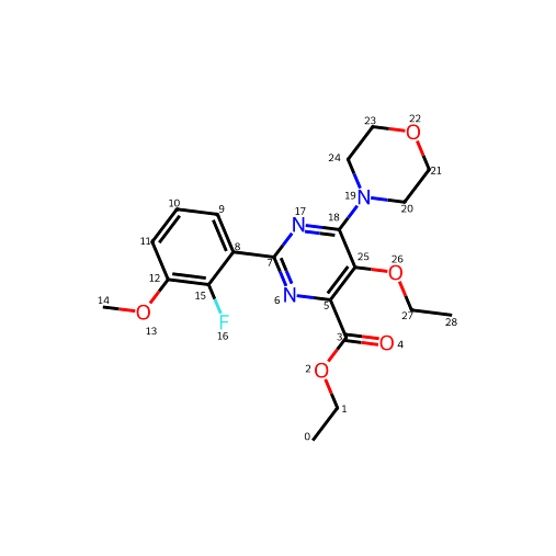 CCOC(=O)c1nc(-c2cccc(OC)c2F)nc(N2CCOCC2)c1OCC